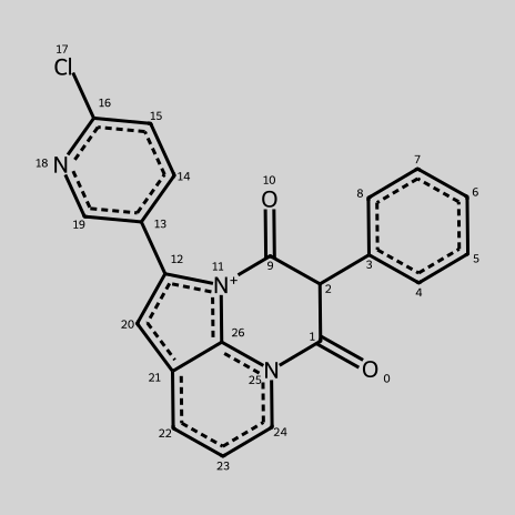 O=C1C(c2ccccc2)C(=O)[n+]2c(-c3ccc(Cl)nc3)cc3cccn1c2-3